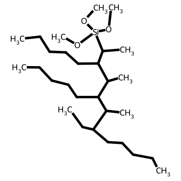 CCCCCC(CC)C(C)C(CCCCC)C(C)C(CCCCC)C(C)[Si](OC)(OC)OC